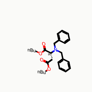 CCCCOC(=O)C[C@H](C(=O)OCCCC)N(Cc1ccccc1)Cc1ccccc1